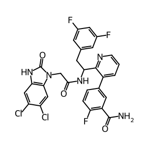 NC(=O)c1cc(-c2cccnc2C(Cc2cc(F)cc(F)c2)NC(=O)Cn2c(=O)[nH]c3cc(Cl)c(Cl)cc32)ccc1F